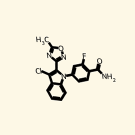 Cc1nc(-c2c(Cl)c3ccccc3n2-c2ccc(C(N)=O)c(F)c2)no1